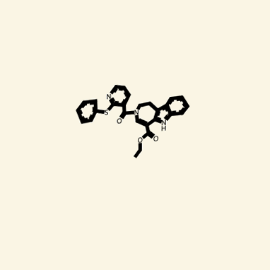 CCOC(=O)C1=CN(C(=O)c2cccnc2Sc2ccccc2)CCc2c1[nH]c1ccccc21